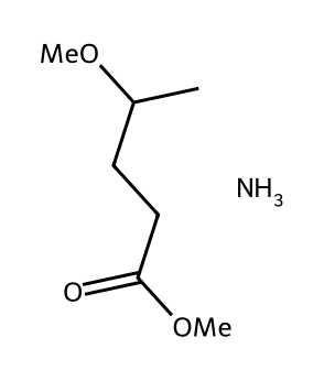 COC(=O)CCC(C)OC.N